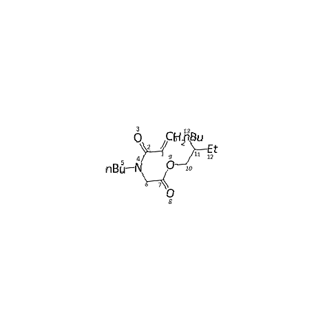 C=CC(=O)N(CCCC)CC(=O)OCC(CC)CCCC